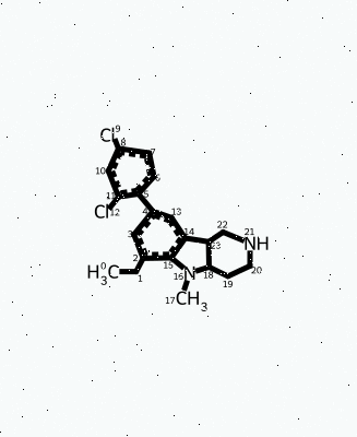 CCc1cc(-c2ccc(Cl)cc2Cl)cc2c1N(C)C1CCNCC21